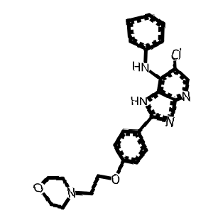 Clc1cnc2nc(-c3ccc(OCCN4CCOCC4)cc3)[nH]c2c1Nc1cc[c]cc1